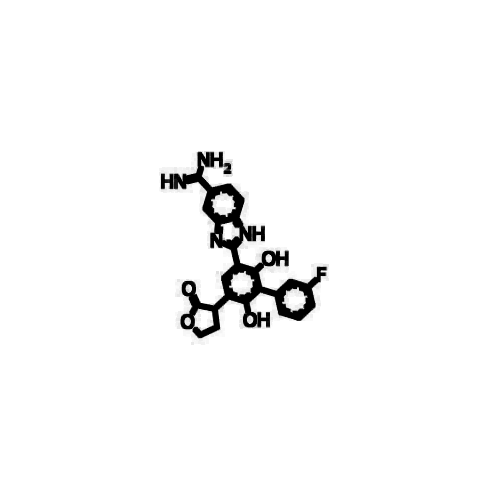 N=C(N)c1ccc2[nH]c(-c3cc(C4CCOC4=O)c(O)c(-c4cccc(F)c4)c3O)nc2c1